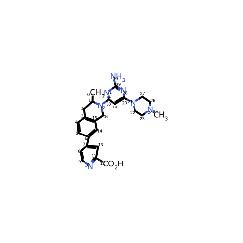 CC1Cc2ccc(-c3ccnc(C(=O)O)c3)cc2CN1c1cc(N2CCN(C)CC2)nc(N)n1